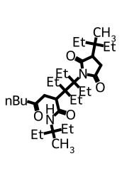 CCCCC(=O)CC(C(=O)NC(C)(CC)CC)C(CC)(CC)C(CC)(CC)N1C(=O)CC(C(C)(CC)CC)C1=O